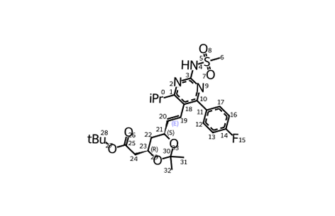 CC(C)c1nc(NS(C)(=O)=O)nc(-c2ccc(F)cc2)c1/C=C/[C@@H]1C[C@H](CC(=O)OC(C)(C)C)OC(C)(C)O1